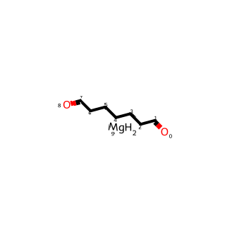 O=CCCCCCC=O.[MgH2]